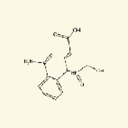 NC(=O)c1ccccc1C(C=CC(=O)O)[PH](=O)CO